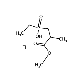 CCP(=O)(O)CC(C)C(=O)OC.[Ti]